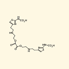 O=C(O)Nc1nc(CCNCCOC(=O)C(=O)OCCNCCc2csc(NC(=O)O)n2)cs1